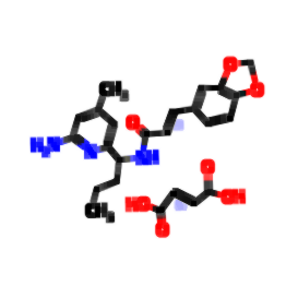 CCCC(NC(=O)/C=C/c1ccc2c(c1)OCO2)c1cc(C)cc(N)n1.O=C(O)/C=C/C(=O)O